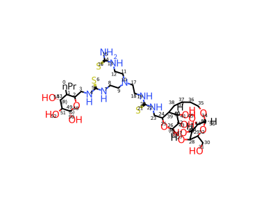 CCCC1C(CNC(=S)NCCN(CCNC(N)=S)CCNC(=S)NCC2O[C@@H]3OC4C(CO)O[C@H](OCCCCC2[C@@H](O)C3O)C(O)[C@@H]4O)O[C@H](O)C(O)[C@@H]1O